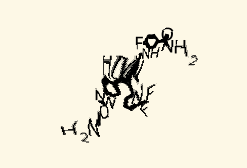 NCCOc1cnc2ccc(-c3[nH]c(CNc4cc(C(N)=O)ccc4F)nc3-c3cccc(C(F)F)n3)cc2n1